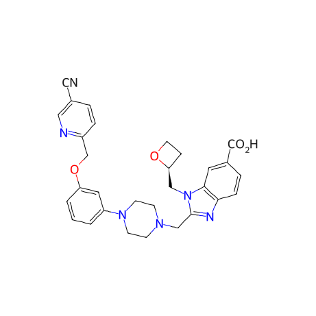 N#Cc1ccc(COc2cccc(N3CCN(Cc4nc5ccc(C(=O)O)cc5n4C[C@@H]4CCO4)CC3)c2)nc1